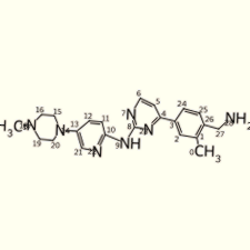 Cc1cc(-c2ccnc(Nc3ccc(N4CCN(C)CC4)cn3)n2)ccc1CN